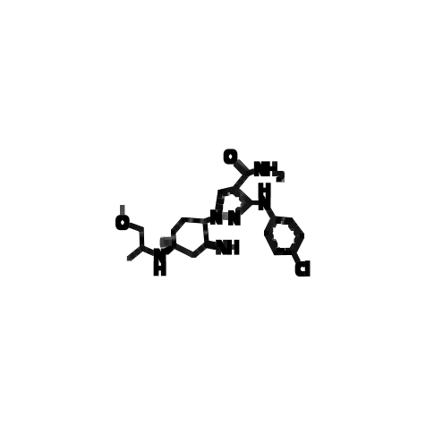 COCC(C)N[C@H]1CCC(n2cc(C(N)=O)c(Nc3ccc(Cl)cc3)n2)C(=N)C1